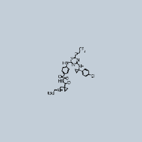 CC(C)(C)CNCC1(C(=O)NS(=O)(=O)c2ccc(Nc3nc(NC4(c5ccc(Cl)cc5)CC4)nc(OCC(F)(F)F)n3)cc2)CC1